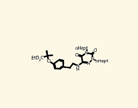 CCCCCCCn1nc(NCCc2ccc(OC(C)(C)C(=O)OCC)cc2)c(=O)n(CCCCCCC)c1=O